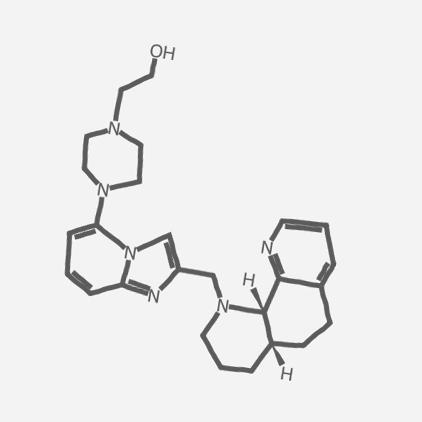 OCCN1CCN(c2cccc3nc(CN4CCC[C@H]5CCc6cccnc6[C@H]54)cn23)CC1